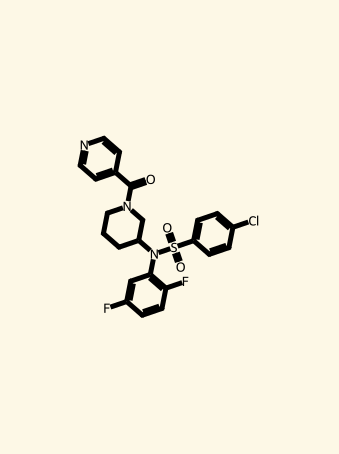 O=C(c1ccncc1)N1CCCC(N(c2cc(F)ccc2F)S(=O)(=O)c2ccc(Cl)cc2)C1